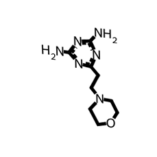 Nc1nc(N)nc(CCN2CCOCC2)n1